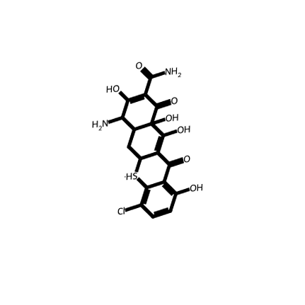 NC(=O)C1=C(O)C(N)C2CC3[SH]c4c(Cl)ccc(O)c4C(=O)C3=C(O)C2(O)C1=O